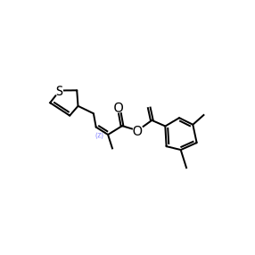 C=C(OC(=O)/C(C)=C\CC1C=CSC1)c1cc(C)cc(C)c1